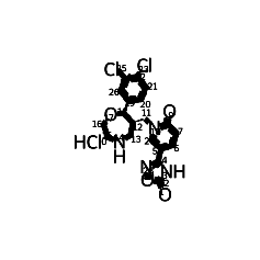 Cl.O=c1[nH]c(-c2ccc(=O)n(C[C@@H]3CNCCO[C@H]3c3ccc(Cl)c(Cl)c3)c2)no1